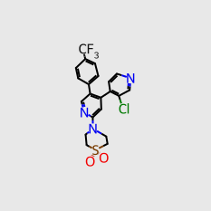 O=S1(=O)CCN(c2cc(-c3ccncc3Cl)c(-c3ccc(C(F)(F)F)cc3)cn2)CC1